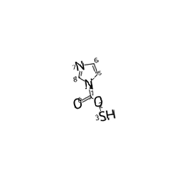 O=C(OS)n1ccnc1